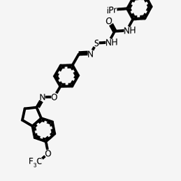 CC(C)c1ccccc1NC(=O)NS/N=C/c1ccc(O/N=C2/CCc3cc(OC(F)(F)F)ccc32)cc1